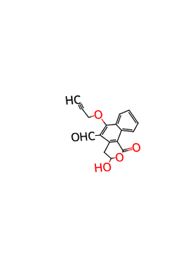 C#CCOc1c(C=O)c2c(c3ccccc13)C(=O)OC(O)C2